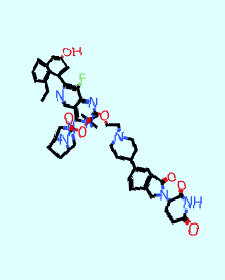 CCc1cccc2cc(O)cc(-c3ncc4c(N5CC6CCC(C5)N6C(=O)OC(C)(C)C)nc(OCCN5CCC(c6ccc7c(c6)C(=O)N(C6CCC(=O)NC6=O)C7)CC5)nc4c3F)c12